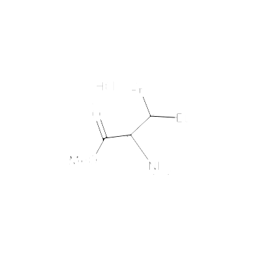 CCC(CC)C(N)C(=O)OC.Cl